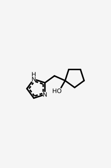 OC1(Cc2ncc[nH]2)CCCC1